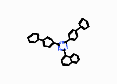 c1ccc(-c2ccc(-c3nc(-c4ccc(-c5ccccc5)cc4)nc(-c4cccc5ccccc45)n3)cc2)cc1